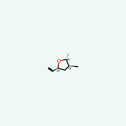 C=C[C@@H]1C[C@H](C)[C@@H](C)O1